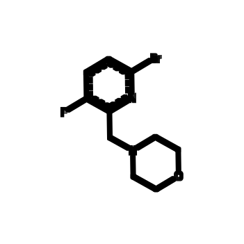 Fc1ccc(Br)nc1CN1CCOCC1